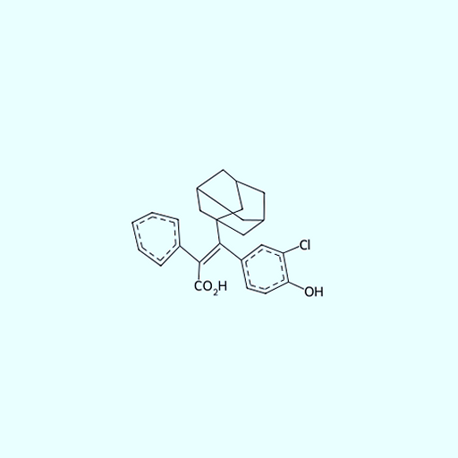 O=C(O)C(=C(c1ccc(O)c(Cl)c1)C12CC3CC(CC(C3)C1)C2)c1ccccc1